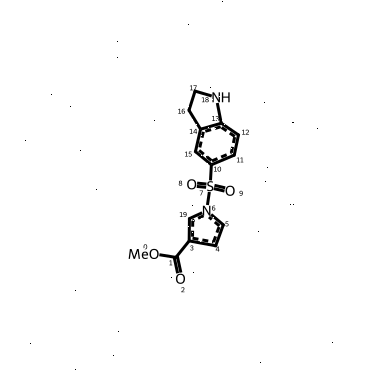 COC(=O)c1ccn(S(=O)(=O)c2ccc3c(c2)CCN3)c1